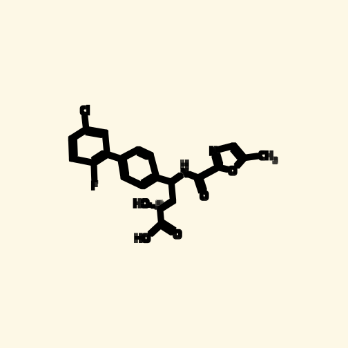 Cc1cnc(C(=O)NC(C[C@@H](O)C(=O)O)c2ccc(-c3cc(Cl)ccc3F)cc2)o1